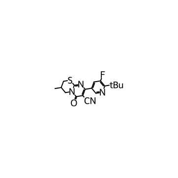 CC1CSc2nc(-c3cnc(C(C)(C)C)c(F)c3)c(C#N)c(=O)n2C1